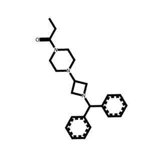 CCC(=O)N1CCN(C2CN(C(c3ccccc3)c3ccccc3)C2)CC1